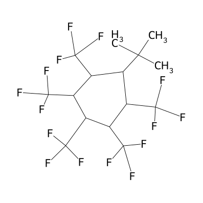 CC(C)(C)C1C(C(F)(F)F)C(C(F)(F)F)C(C(F)(F)F)C(C(F)(F)F)C1C(F)(F)F